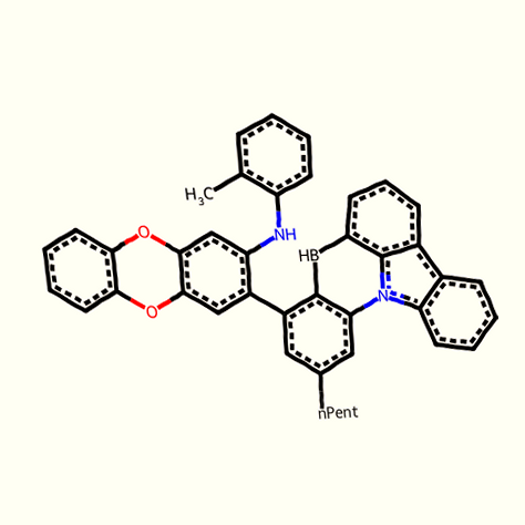 CCCCCc1cc(-c2cc3c(cc2Nc2ccccc2C)Oc2ccccc2O3)c2c(c1)-n1c3ccccc3c3cccc(c31)B2